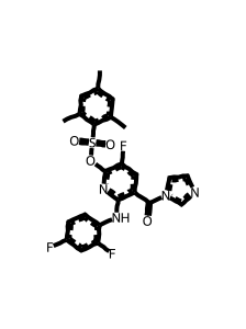 Cc1cc(C)c(S(=O)(=O)Oc2nc(Nc3ccc(F)cc3F)c(C(=O)n3ccnc3)cc2F)c(C)c1